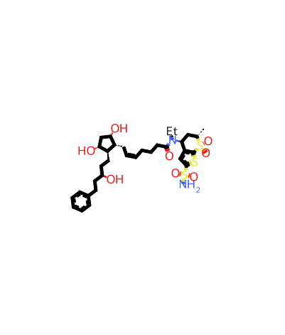 CCN(C(=O)CCC/C=C\C[C@@H]1[C@@H](CC[C@@H](O)CCc2ccccc2)[C@H](O)C[C@@H]1O)[C@H]1C[C@H](C)S(=O)(=O)c2sc(S(N)(=O)=O)cc21